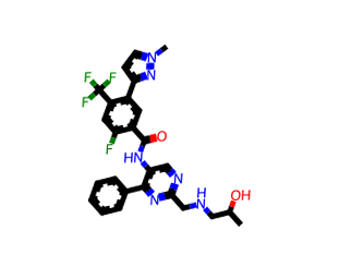 CC(O)CNCc1ncc(NC(=O)c2cc(-c3ccn(C)n3)c(C(F)(F)F)cc2F)c(-c2ccccc2)n1